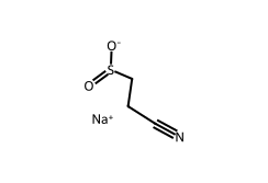 N#CCCS(=O)[O-].[Na+]